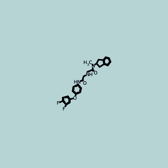 CN(C(=O)CNCC(=O)Nc1ccc(Oc2ccc(F)c(F)c2)cc1)C1Cc2ccccc2C1